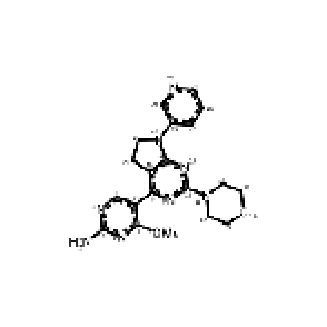 COc1nc(N)ncc1-c1nc(N2CCOCC2)nc2c1CCN2c1cccnc1